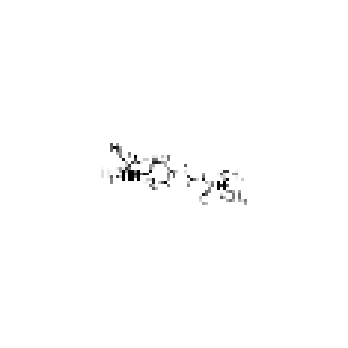 CN(C)C(=O)CCCc1ccc(NC(C)(C)C#N)cc1